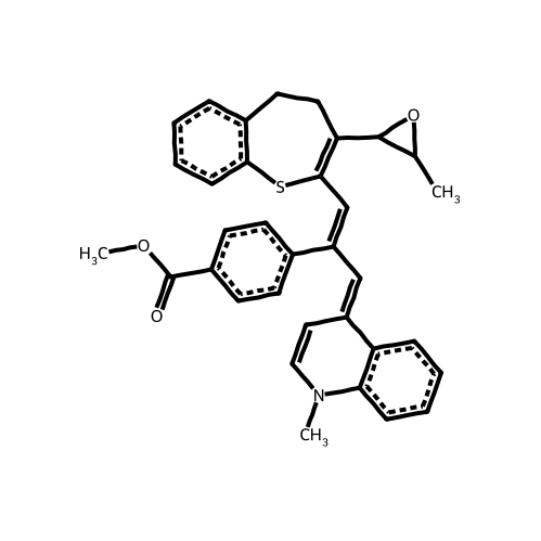 COC(=O)c1ccc(C(=C\C2=C(C3OC3C)CCc3ccccc3S2)/C=C2\C=CN(C)c3ccccc32)cc1